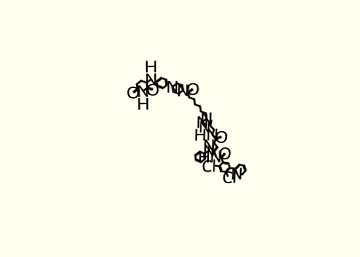 O=C1CCC(Nc2ccc(N3CCN(C(=O)CCCCCCn4cc(CNC(=O)c5cc(NC(=O)c6cc(-c7ccccn7)c(Cl)cc6Cl)n(-c6ccccc6)n5)nn4)CC3)cc2)C(=O)N1